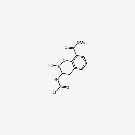 CCC(=O)NC1Cc2cccc(C(=O)OC)c2OB1O